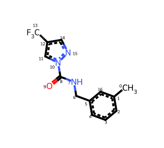 Cc1cccc(CNC(=O)n2cc(C(F)(F)F)cn2)c1